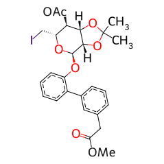 COC(=O)Cc1cccc(-c2ccccc2O[C@H]2O[C@H](CI)[C@@H](OC(C)=O)[C@@H]3OC(C)(C)O[C@H]23)c1